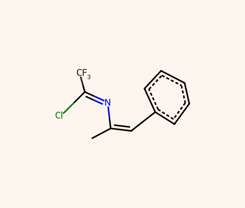 CC(=Cc1ccccc1)N=C(Cl)C(F)(F)F